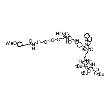 COc1ccc(CCCC(=O)NCCOCCOCCOCCOCCC(=O)NC(CC(=O)O)CC(=O)NCC2CCC(C(=O)N[C@@H](Cc3ccc4ccccc4c3)C(=O)NCCCC[C@H](NC(=O)N[C@@H](CCC(=O)OC(C)(C)C)C(=O)OC(C)(C)C)C(=O)OC(C)(C)C)CC2)cc1